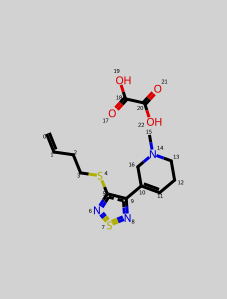 C=CCCSc1nsnc1C1=CCCN(C)C1.O=C(O)C(=O)O